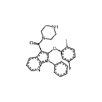 Cc1ccc(F)cc1Oc1c(C(=O)N2CCNCC2)c2cccnc2n1-c1ccccc1